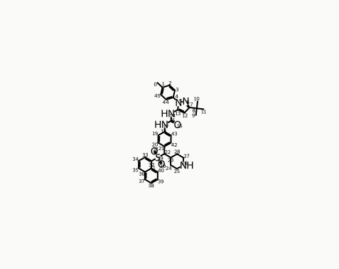 Cc1ccc(-n2nc(C(C)(C)C)cc2NC(=O)Nc2ccc(C(C3CCNCC3)S(=O)(=O)c3cccc4ccccc34)cc2)cc1